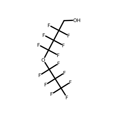 OCC(F)(F)C(F)(F)C(F)(F)OC(F)(F)C(F)(F)C(F)(F)F